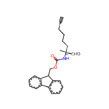 C#CCCCC[C@](C)(C=O)NC(=O)OCC1c2ccccc2-c2ccccc21